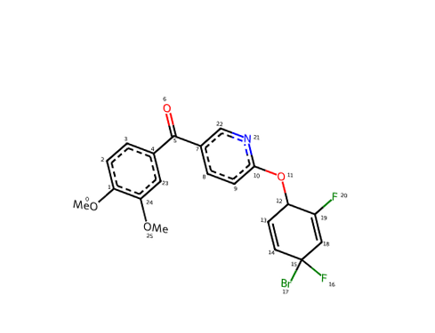 COc1ccc(C(=O)c2ccc(OC3C=CC(F)(Br)C=C3F)nc2)cc1OC